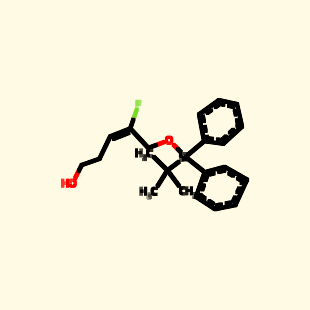 CC(C)(C)[Si](OC/C(F)=C\CCO)(c1ccccc1)c1ccccc1